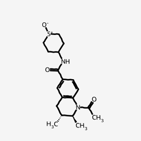 CC(=O)N1c2ccc(C(=O)NC3CC[S+]([O-])CC3)cc2C[C@@H](C)[C@@H]1C